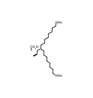 C=CCN(CCCCCCCCCCCCCCCCCC)CCCCCCCCCCCCCCCCCC.CC(=O)O